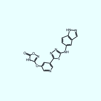 O=c1[nH]c(Oc2cncc(-c3nnc(Nc4ccc5[nH]ncc5c4)s3)c2)no1